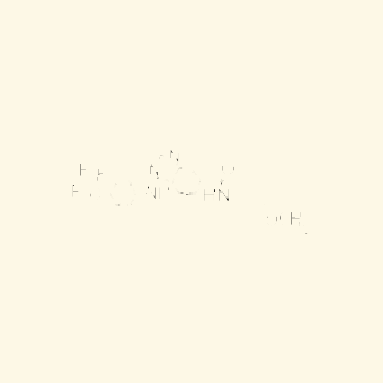 COCCCNC(=O)c1ccc2c(Nc3ccc(OC(F)(F)F)cc3)ncnc2c1